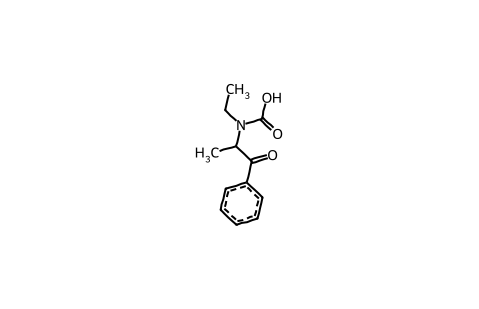 CCN(C(=O)O)C(C)C(=O)c1ccccc1